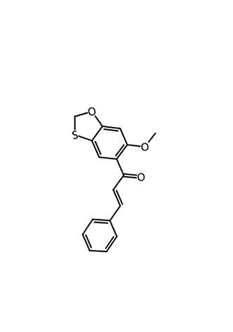 COc1cc2c(cc1C(=O)/C=C/c1ccccc1)SCO2